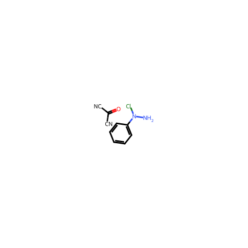 N#CC(=O)C#N.NN(Cl)c1ccccc1